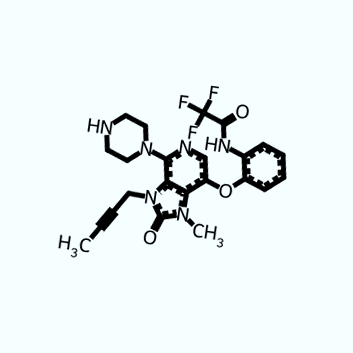 CC#CCn1c(=O)n(C)c2c(Oc3ccccc3NC(=O)C(F)(F)F)cnc(N3CCNCC3)c21